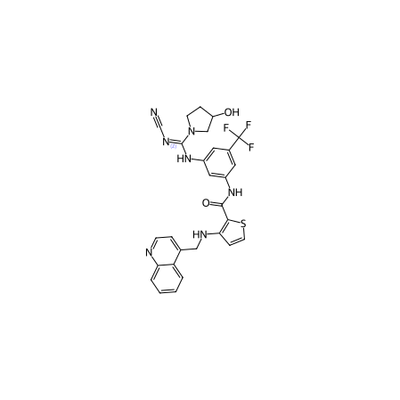 N#C/N=C(/Nc1cc(NC(=O)c2sccc2NCc2ccnc3ccccc23)cc(C(F)(F)F)c1)N1CCC(O)C1